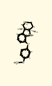 COc1ccc(Sc2cccc3c2N[C@@H]2CCNC[C@H]32)cc1